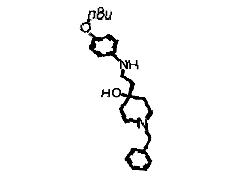 CCCCOc1ccc(NCCC2(O)CCN(Cc3ccccc3)CC2)cc1